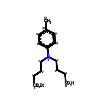 CCOC(=O)CCCN(CCCS(=O)(=O)O)c1ccc(C)cc1